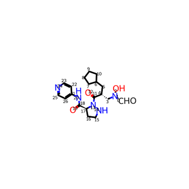 O=CN(O)C[C@@H](CC1CCCC1)C(=O)N1NCC[C@H]1C(=O)Nc1ccncc1